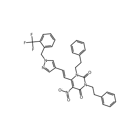 O=c1c([N+](=O)[O-])c(C=Cc2cnn(Cc3ccccc3C(F)(F)F)c2)n(CCc2ccccc2)c(=O)n1CCc1ccccc1